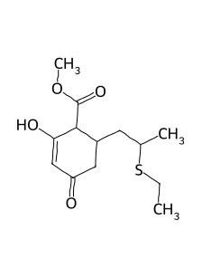 CCSC(C)CC1CC(=O)C=C(O)C1C(=O)OC